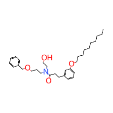 CCCCCCCCCCOc1cccc(CCC(=O)N(CCO)CCCOCc2ccccc2)c1